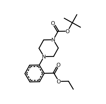 CCOC(=O)c1ccccc1N1CCN(C(=O)OC(C)(C)C)CC1